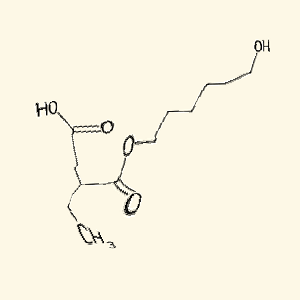 CCC(CC(=O)O)C(=O)OCCCCCO